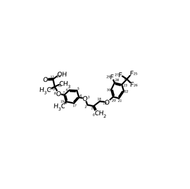 C=C(COc1ccc(OC(C)(C)C(=O)O)c(C)c1)COc1ccc(C(F)(F)F)c(F)c1